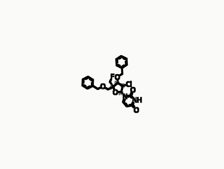 O=c1ccn([C@@H]2O[C@](CF)(COCc3ccccc3)[C@@H](OCc3ccccc3)[C@H]2Cl)c(=O)[nH]1